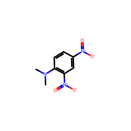 CN(C)c1ccc([N+](=O)[O-])[c]c1[N+](=O)[O-]